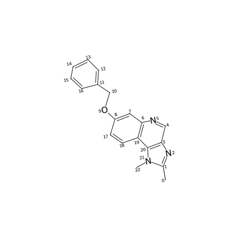 Cc1nc2cnc3cc(OCc4ccccc4)ccc3c2n1C